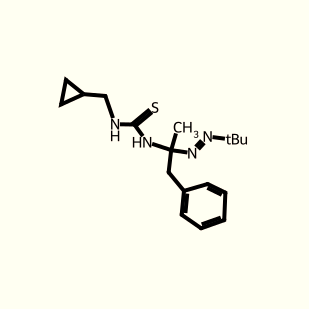 CC(C)(C)N=NC(C)(Cc1ccccc1)NC(=S)NCC1CC1